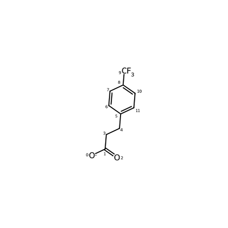 [O]C(=O)CCc1ccc(C(F)(F)F)cc1